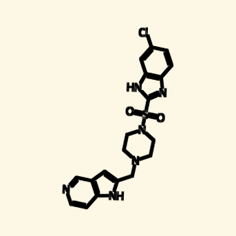 O=S(=O)(c1nc2ccc(Cl)cc2[nH]1)N1CCN(Cc2cc3cnccc3[nH]2)CC1